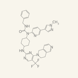 Cn1cc(-c2ccc(N(C(=O)NCc3ccccc3)C3CCC(Nc4ncc(C(F)(F)F)c(N5CCc6cnccc6C5)n4)CC3)nc2)cn1